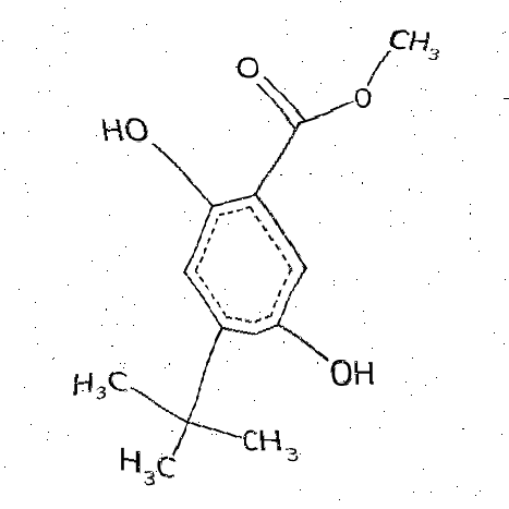 COC(=O)c1cc(O)c(C(C)(C)C)cc1O